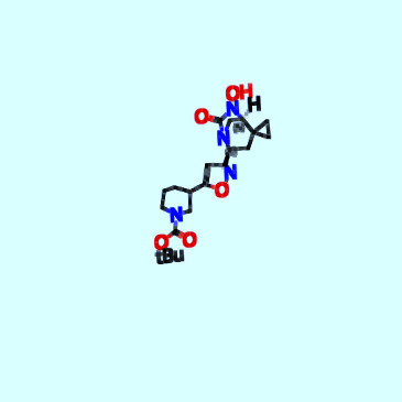 CC(C)(C)OC(=O)N1CCCC(c2cc([C@@H]3CC4(CC4)[C@H]4CN3C(=O)N4O)no2)C1